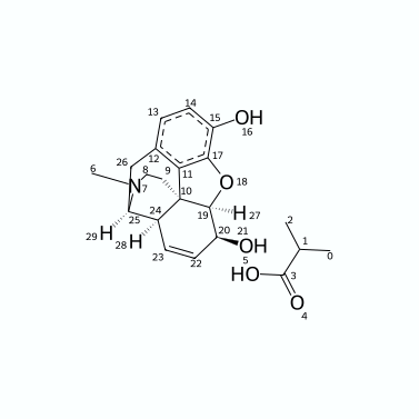 CC(C)C(=O)O.CN1CC[C@]23c4c5ccc(O)c4O[C@H]2[C@@H](O)C=C[C@H]3[C@H]1C5